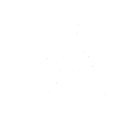 CCCCOCCOCC(COCCOCCCC)OP(=O)(O)OC(COCCOCCCC)COCCOCCCC